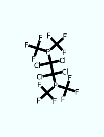 FC(F)(F)P(C(F)(F)F)C(Cl)(Cl)C(Cl)(Cl)P(C(F)(F)F)C(F)(F)F